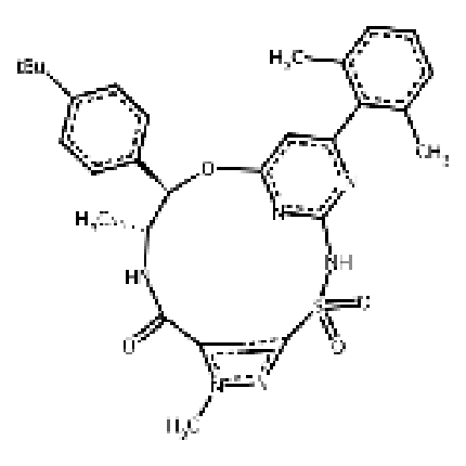 Cc1cccc(C)c1-c1cc2nc(n1)NS(=O)(=O)c1cc(n(C)n1)C(=O)N[C@H](C)[C@@H](c1ccc(C(C)(C)C)cc1)O2